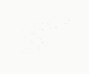 c1ccc(-c2ccc(-c3ccc4c5ccccc5n(-c5nc(-c6ccccc6)nc(-c6ccccc6)n5)c4c3)cc2)cc1